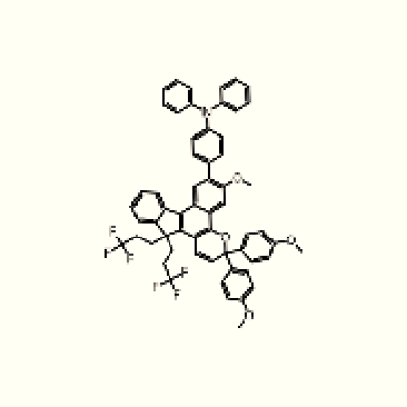 COc1ccc(C2(c3ccc(OC)cc3)C=Cc3c4c(c5cc(-c6ccc(N(c7ccccc7)c7ccccc7)cc6)c(OC)cc5c3O2)-c2ccccc2C4(CCC(F)(F)F)CCC(F)(F)F)cc1